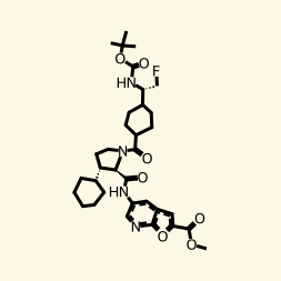 COC(=O)c1cc2cc(NC(=O)[C@H]3[C@H](C4CCCCC4)CCN3C(=O)C3CCC([C@@H](CF)NC(=O)OC(C)(C)C)CC3)cnc2o1